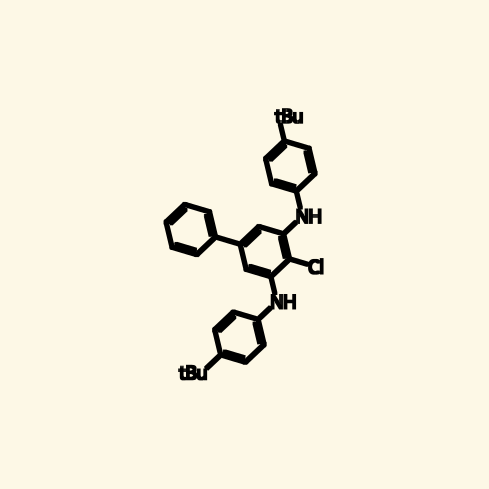 CC(C)(C)c1ccc(Nc2cc(-c3ccccc3)cc(Nc3ccc(C(C)(C)C)cc3)c2Cl)cc1